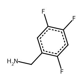 NCc1cc(F)c(F)cc1F